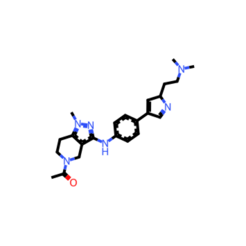 CC(=O)N1CCc2c(c(Nc3ccc(C4=CC(CCN(C)C)N=C4)cc3)nn2C)C1